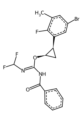 Cc1cc(Br)cc([C@H]2C[C@H]2O/C(=N\C(F)F)NC(=O)c2ccccc2)c1F